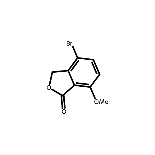 COc1ccc(Br)c2c1C(=O)OC2